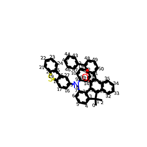 CC1(C)c2cccc(N(c3ccccc3)c3ccc4sc5ccccc5c4c3)c2-c2c1c1ccccc1c1c2oc2c(-c3ccccc3)cccc21